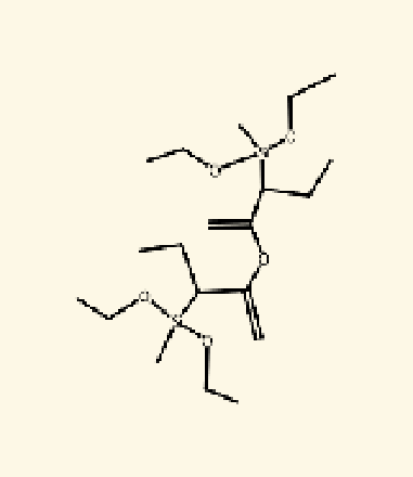 C=C(OC(=C)C(CC)[Si](C)(OCC)OCC)C(CC)[Si](C)(OCC)OCC